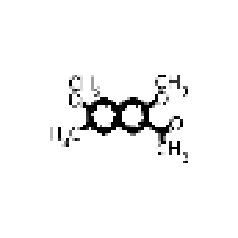 COc1cc2cc(OC)c(C(C)=O)cc2cc1C